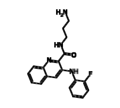 NCCCNC(=O)c1nc2ccccc2cc1Nc1ccccc1F